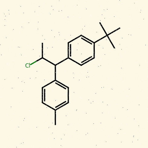 Cc1ccc(C(c2ccc(C(C)(C)C)cc2)C(C)Cl)cc1